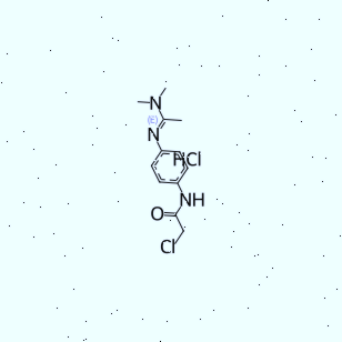 C/C(=N\c1ccc(NC(=O)CCl)cc1)N(C)C.Cl